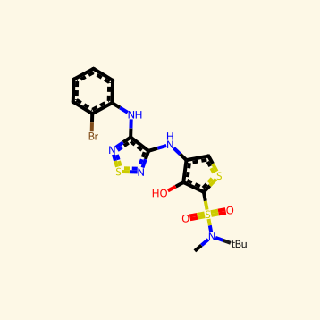 CN(C(C)(C)C)S(=O)(=O)c1scc(Nc2nsnc2Nc2ccccc2Br)c1O